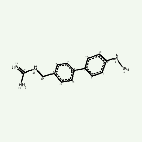 CC(C)(C)Nc1ccc(-c2ccc(CNC(=N)N)cc2)cc1